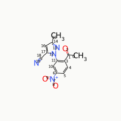 CC(=O)c1ccc([N+](=O)[O-])cc1-n1nc(C)cc1C#N